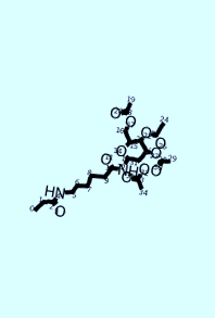 CCC(=O)NCCCCCC(=O)NC1OC(COC(C)=O)C(OC(C)=O)C(OC(C)=O)C1OC(C)=O